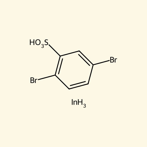 O=S(=O)(O)c1cc(Br)ccc1Br.[InH3]